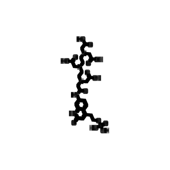 O=C(O)CN(CCN(CC(=O)O)CC(=O)O)CCN(CC(=O)O)CC(=O)Nc1ccc2c(CCOP(=O)(O)O)cc(=O)[nH]c2c1